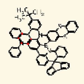 CC(C)(C)c1ccc(N2c3cc4c(cc3B3c5c(cc(N(c6ccccc6)c6ccccc6)cc52)-c2cccc5c2N3c2ccccc2C52c3ccccc3-c3ccccc32)Sc2ccccc2S4)c(-c2ccccc2)c1